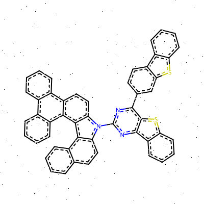 c1ccc2c(c1)ccc1c2c2c3c4ccccc4c4ccccc4c3ccc2n1-c1nc(-c2ccc3c(c2)sc2ccccc23)c2sc3ccccc3c2n1